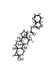 C[C@]12CC[C@@H]3[C@H]4CC[C@]5(O)CC5[C@H]4CC[C@H]3[C@@H]1CC[C@@H]2C(=O)Cn1nnc2cccnc21